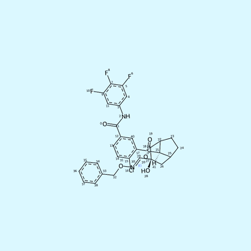 O=C(Nc1cc(F)c(F)c(F)c1)c1ccc(Cl)c(S(=O)(=O)[C@H]2C3CCC2C[C@](O)(/C=N/OCc2ccccc2)C3)c1